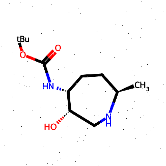 C[C@@H]1CC[C@@H](NC(=O)OC(C)(C)C)[C@@H](O)CN1